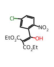 CCOC(=O)C(C(=O)OCC)=C(O)c1cc(Cl)ccc1[N+](=O)[O-]